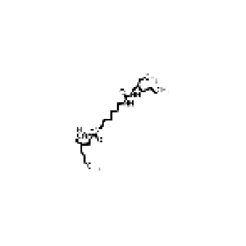 CCCCC(CC)CNC(=O)NCCCCCCNC(=O)NCC(CC)CCCC